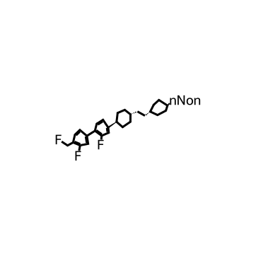 CCCCCCCCC[C@H]1CC[C@H](CC[C@H]2CC[C@H](c3ccc(-c4ccc(CF)c(F)c4)c(F)c3)CC2)CC1